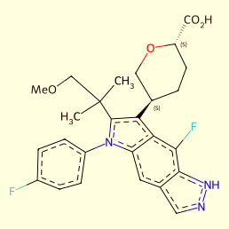 COCC(C)(C)c1c([C@@H]2CC[C@@H](C(=O)O)OC2)c2c(F)c3[nH]ncc3cc2n1-c1ccc(F)cc1